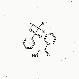 O=C(CO)c1ccccc1.O=S(=O)(c1ccccc1)C(Br)(Br)Br